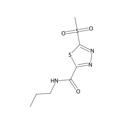 CCCNC(=O)c1nnc(S(C)(=O)=O)s1